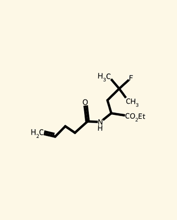 C=CCCC(=O)NC(CC(C)(C)F)C(=O)OCC